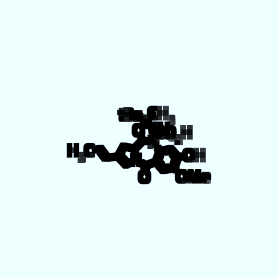 C/C=C/C1=CN2C(=O)c3cc(OC)c(O)cc3N(C(=O)O)C(O[Si](C)(C)C(C)(C)C)C2C1